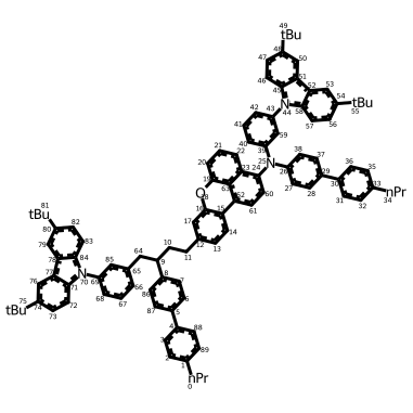 CCCc1ccc(-c2ccc(C(CCc3ccc4c(c3)Oc3cccc5c(N(c6ccc(-c7ccc(CCC)cc7)cc6)c6cccc(-n7c8ccc(C(C)(C)C)cc8c8cc(C(C)(C)C)ccc87)c6)ccc-4c35)Cc3cccc(-n4c5ccc(C(C)(C)C)cc5c5cc(C(C)(C)C)ccc54)c3)cc2)cc1